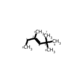 CCC(C)=CC(C)(C)C